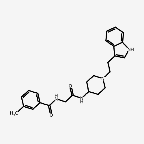 Cc1cccc(C(=O)NCC(=O)NC2CCN(CCc3c[nH]c4ccccc34)CC2)c1